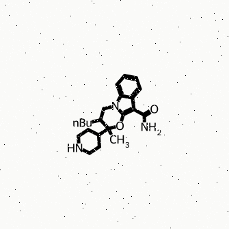 CCCCC1Cn2c(c(C(N)=O)c3ccccc32)OC1(C)C1CCNCC1